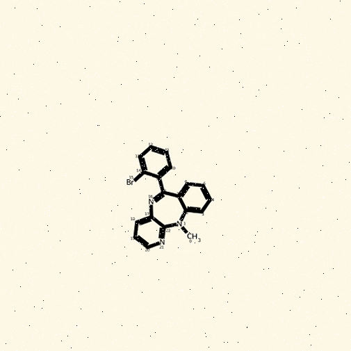 CN1c2ccccc2C(c2ccccc2Br)=Nc2cccnc21